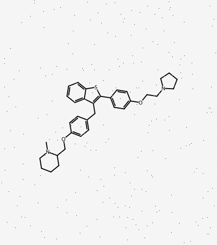 CN1CCCCC1COc1ccc(Cc2c(-c3ccc(OCCN4CCCC4)cc3)sc3ccccc23)cc1